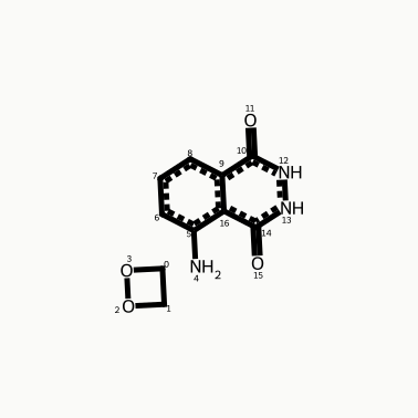 C1COO1.Nc1cccc2c(=O)[nH][nH]c(=O)c12